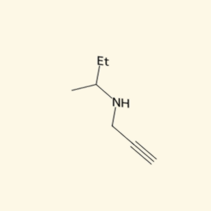 C#CCNC(C)CC